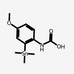 COc1ccc(NC(=O)O)[c]([Sn]([CH3])([CH3])[CH3])c1